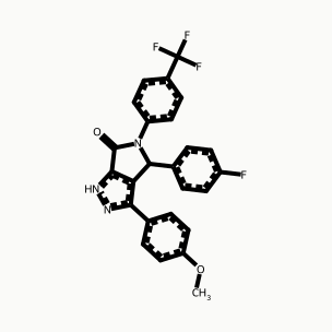 COc1ccc(-c2n[nH]c3c2C(c2ccc(F)cc2)N(c2ccc(C(F)(F)F)cc2)C3=O)cc1